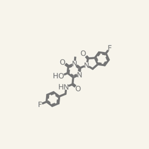 Cn1c(N2Cc3ccc(F)cc3C2=O)nc(C(=O)NCc2ccc(F)cc2)c(O)c1=O